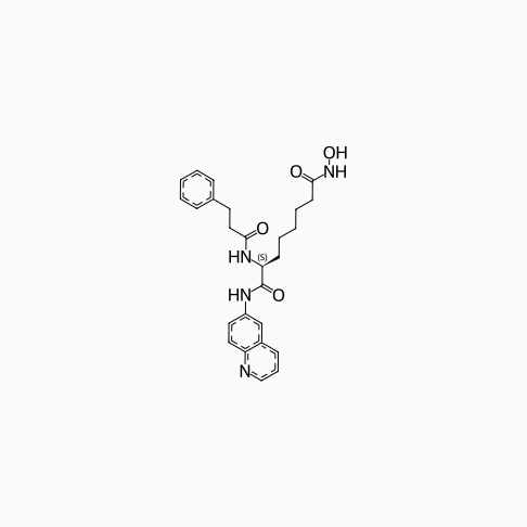 O=C(CCCCC[C@H](NC(=O)CCc1ccccc1)C(=O)Nc1ccc2ncccc2c1)NO